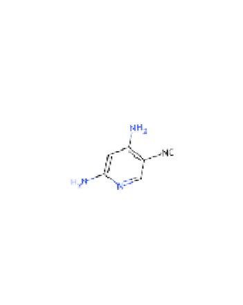 [C-]#[N+]c1cnc(N)cc1N